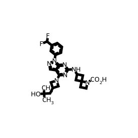 CC(C)(O)CC1CN(c2nc(NC3CC4(CCN4C(=O)O)C3)nc3c2cnn3-c2cccc(C(F)F)c2)C1